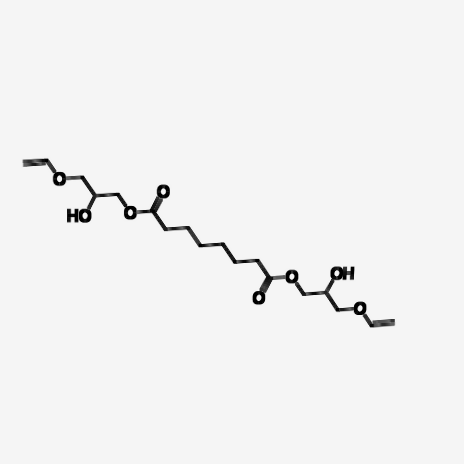 C=COCC(O)COC(=O)CCCCCCC(=O)OCC(O)COC=C